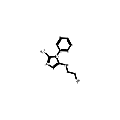 Cc1ncc(NCCO)n1-c1ccccc1